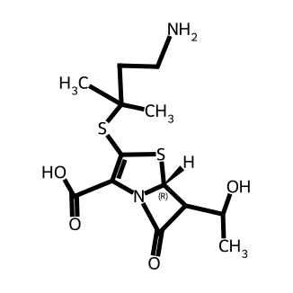 CC(O)C1C(=O)N2C(C(=O)O)=C(SC(C)(C)CCN)S[C@H]12